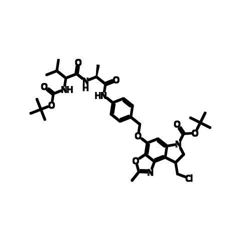 Cc1nc2c3c(cc(OCc4ccc(NC(=O)[C@H](C)NC(=O)C(NC(=O)OC(C)(C)C)C(C)C)cc4)c2o1)N(C(=O)OC(C)(C)C)CC3CCl